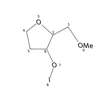 COCC1OCCC1OI